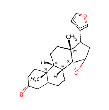 C[C@]12CCC(=O)CC1CC[C@@H]1[C@H]2CC[C@]2(C)C(c3ccoc3)CC3O[C@]312